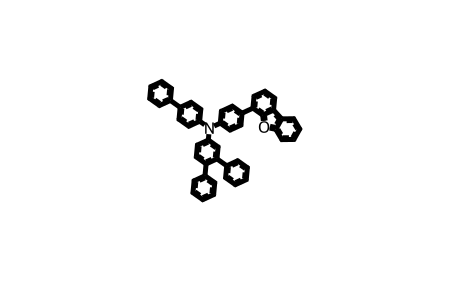 c1ccc(-c2ccc(N(c3ccc(-c4cccc5c4oc4ccccc45)cc3)c3ccc(-c4ccccc4)c(-c4ccccc4)c3)cc2)cc1